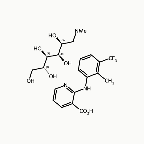 CNC[C@H](O)[C@@H](O)[C@H](O)[C@H](O)CO.Cc1c(Nc2ncccc2C(=O)O)cccc1C(F)(F)F